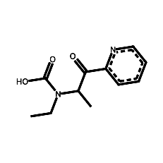 CCN(C(=O)O)C(C)C(=O)c1ccccn1